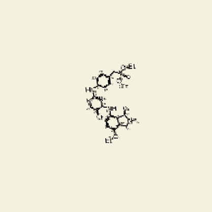 CCOc1ccc(Nc2nc(Nc3ccc(CP(=O)(OCC)OCC)cc3)ncc2C(F)(F)F)c2c1CN(C)C2=O